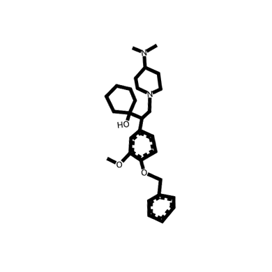 COc1cc(C(CN2CCC(N(C)C)CC2)C2(O)CCCCC2)ccc1OCc1ccccc1